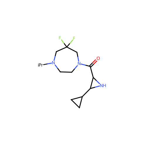 CC(C)N1CCN(C(=O)C2NC2C2CC2)CC(F)(F)C1